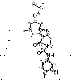 CN1Cc2c3c(nn2CC(OCC(F)F)C1)CCN(C(=O)Nc1ccc(F)c(Cl)c1)C3=O